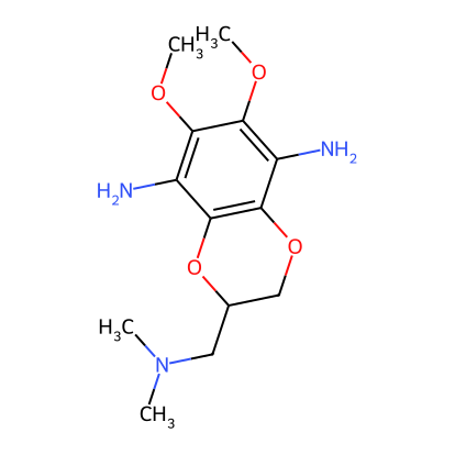 COc1c(N)c2c(c(N)c1OC)OC(CN(C)C)CO2